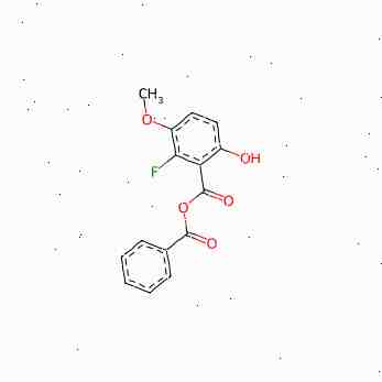 COc1ccc(O)c(C(=O)OC(=O)c2ccccc2)c1F